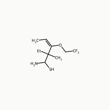 C/C=C(/OCC(F)(F)F)C(C)(CC)C(N)S